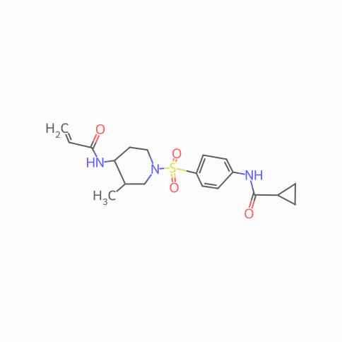 C=CC(=O)NC1CCN(S(=O)(=O)c2ccc(NC(=O)C3CC3)cc2)CC1C